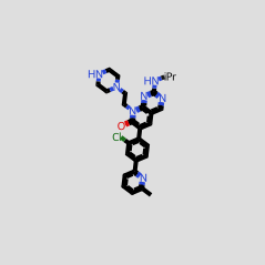 Cc1cccc(-c2ccc(-c3cc4cnc(NC(C)C)nc4n(CCN4CCNCC4)c3=O)c(Cl)c2)n1